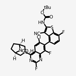 CC(C)(C)OC(=O)Nc1sc2c(F)ccc(-c3c(Cl)cc4c(N5C[C@H]6CC[C@@H](C5)N6C(=O)O)nc(F)nc4c3F)c2c1C#N